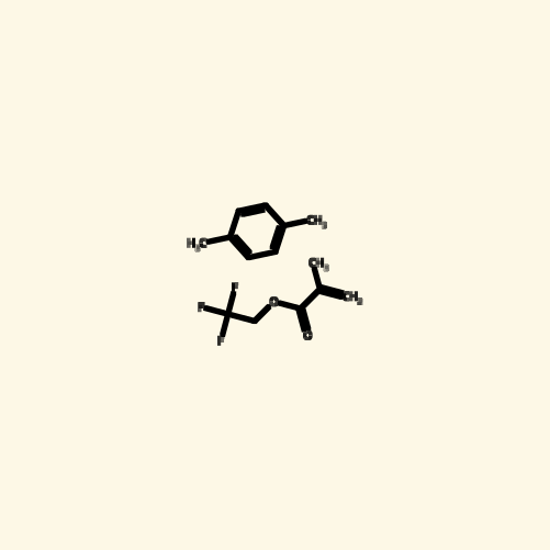 C=C(C)C(=O)OCC(F)(F)F.Cc1ccc(C)cc1